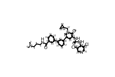 CN(C)CCCNC(=O)c1cccc(-c2cccc(-c3cc(NC(=O)Nc4c(Cl)cncc4Cl)c(=O)n(CC4CC4)n3)c2)c1